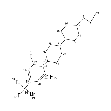 CCCC1CCC(C2CCC(c3c(F)cc(C(F)(F)Br)cc3F)CC2)CC1